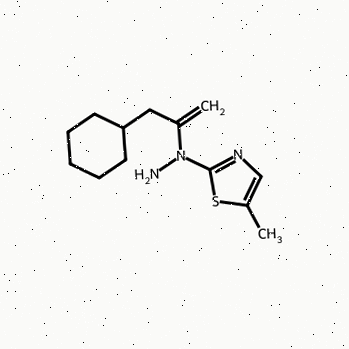 C=C(CC1CCCCC1)N(N)c1ncc(C)s1